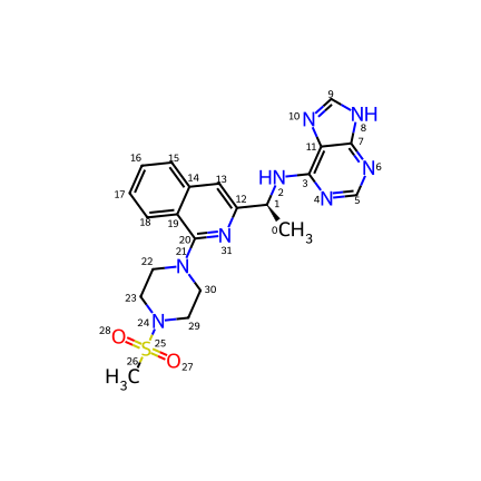 C[C@H](Nc1ncnc2[nH]cnc12)c1cc2ccccc2c(N2CCN(S(C)(=O)=O)CC2)n1